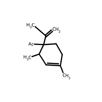 C=C(C)C1(C(C)=O)CCC(C)=CC1C